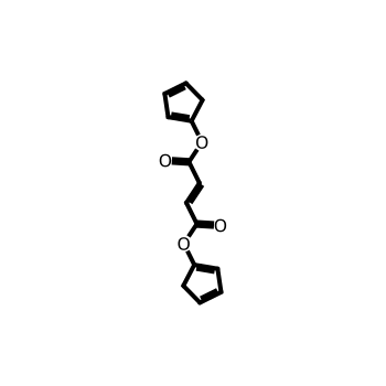 O=C(C=CC(=O)OC1=CC=CC1)OC1=CC=CC1